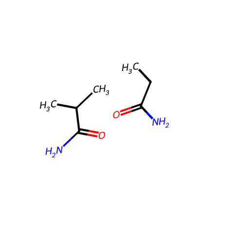 CC(C)C(N)=O.CCC(N)=O